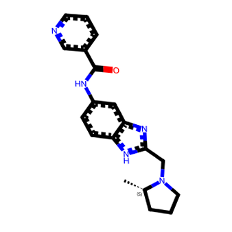 C[C@H]1CCCN1Cc1nc2cc(NC(=O)c3cccnc3)ccc2[nH]1